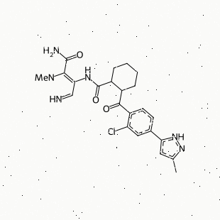 CN/C(C(N)=O)=C(\C=N)NC(=O)C1CCCCC1C(=O)c1ccc(-c2cc(C)n[nH]2)cc1Cl